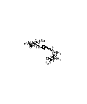 CC(C)(C)OC(=O)N=C(N)N(CCNc1ccc(CCCCNC(N)=NC(=O)c2nc(Cl)c(N)nc2N)cc1)C(=O)OC(C)(C)C